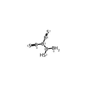 BB(S)B(B=S)B=S